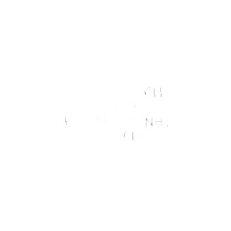 CCOc1ccc(C)c(N)c1C